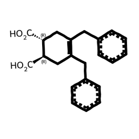 O=C(O)[C@@H]1CC(Cc2ccccc2)=C(Cc2ccccc2)C[C@H]1C(=O)O